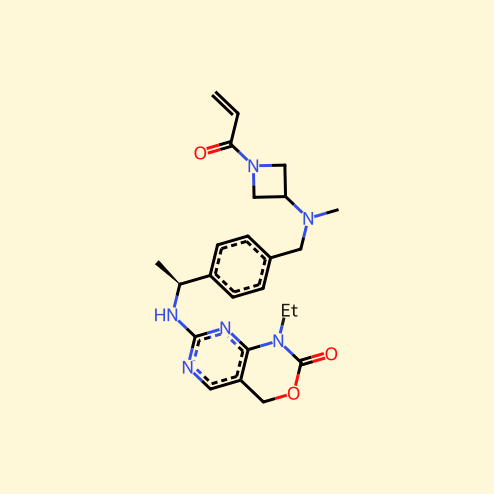 C=CC(=O)N1CC(N(C)Cc2ccc([C@H](C)Nc3ncc4c(n3)N(CC)C(=O)OC4)cc2)C1